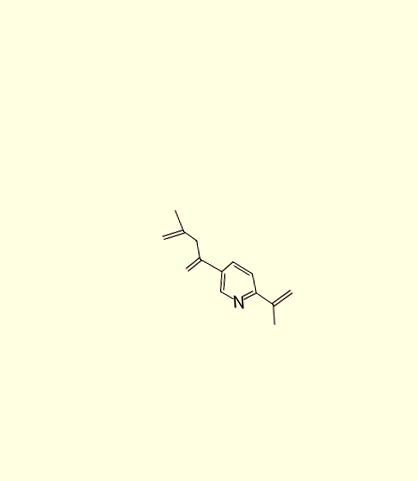 C=C(C)CC(=C)c1ccc(C(=C)C)nc1